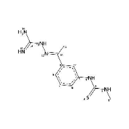 CNC(=S)Nc1cccc(C(C)=NNC(=N)N)c1